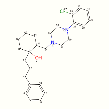 OC1(CCCc2ccccc2)CCCCC1CN1CCN(c2ccccc2Cl)CC1